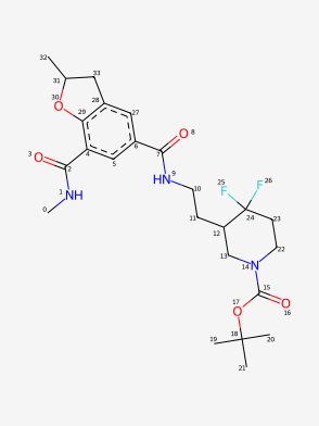 CNC(=O)c1cc(C(=O)NCCC2CN(C(=O)OC(C)(C)C)CCC2(F)F)cc2c1OC(C)C2